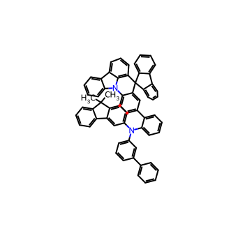 CC1(C)c2ccccc2-c2cc(N(c3cccc(-c4ccccc4)c3)c3ccccc3-c3ccc4c(c3)C3(c5ccccc5-c5ccccc53)c3cccc5c6ccccc6n-4c35)ccc21